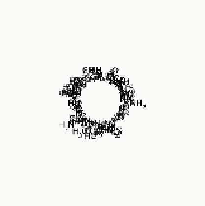 CCCC[C@H]1C(=O)N2C[C@H](O)C[C@@H]2C(=O)N[C@@H](COC=O)C(=O)N[C@@H](C(C)C)C(=O)N(C)[C@@H](Cc2ccccc2)C(=O)N[C@@H](CCCN)C(=O)N2CCC[C@@H]2C(=O)N[C@@H](Cc2c[nH]c3ccccc23)C(=O)N[C@@H](Cc2ccc(O)cc2)C(=O)N[C@@H](CCOC)C(=O)N[C@H](C(=O)NCC(N)=O)CSCC(=O)N[C@@H](Cc2cc(F)c(F)c(F)c2)C(=O)N(C)[C@@H](Cc2ccccc2)C(=O)N1C